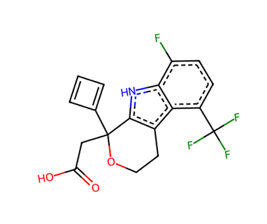 O=C(O)CC1(C2=CC=C2)OCCc2c1[nH]c1c(F)ccc(C(F)(F)F)c21